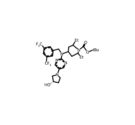 CCC1CC(N(Cc2cc(C(F)(F)F)cc(C(F)(F)F)c2)c2ncc(N3CC[C@H](O)C3)cn2)CC(CC)N1C(=O)OC(C)(C)C